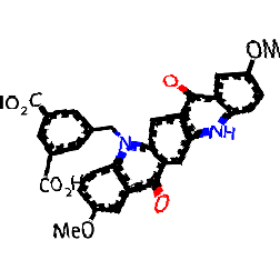 COc1ccc2[nH]c3cc4c(=O)c5cc(OC)ccc5n(Cc5cc(C(=O)O)cc(C(=O)O)c5)c4cc3c(=O)c2c1